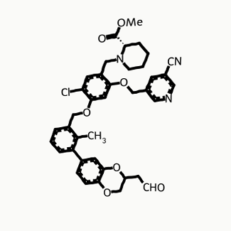 COC(=O)[C@@H]1CCCCN1Cc1cc(Cl)c(OCc2cccc(-c3ccc4c(c3)OC(CC=O)CO4)c2C)cc1OCc1cncc(C#N)c1